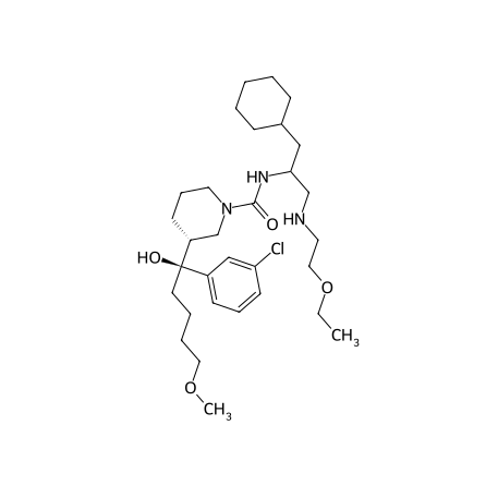 CCOCCNCC(CC1CCCCC1)NC(=O)N1CCC[C@@H]([C@@](O)(CCCCOC)c2cccc(Cl)c2)C1